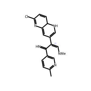 CN/C=C(\C(=N)c1ccc(C)nc1)C1=CNC2C=CC(Cl)=NC2=C1